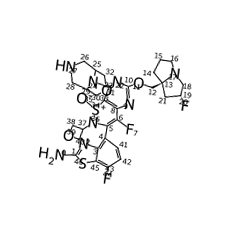 Nc1nc2c(C3=C(F)c4nc(OC[C@@]56CCCN5C[C@H](F)C6)nc(N5C6CNCC5COC6)c4[S+]([O-])N3C3COC3)ccc(F)c2s1